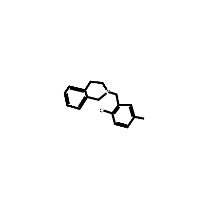 Cc1ccc(Cl)c(CN2CCc3ccccc3C2)c1